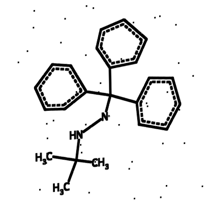 CC(C)(C)N[N]C(c1ccccc1)(c1ccccc1)c1ccccc1